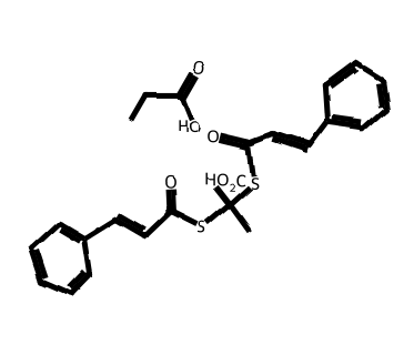 CC(SC(=O)C=Cc1ccccc1)(SC(=O)C=Cc1ccccc1)C(=O)O.CCC(=O)O